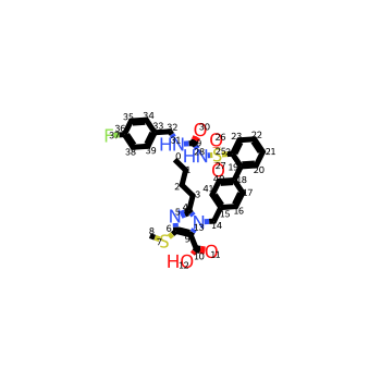 CCCCc1nc(SC)c(C(=O)O)n1Cc1ccc(-c2ccccc2S(=O)(=O)NC(=O)NCc2ccc(F)cc2)cc1